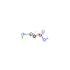 Cc1c(CCCCN2CCCC(C(F)(F)F)C2)cccc1-c1cccc(COc2cc(CCc3cncc(C#N)c3)c(CN3CCCCC3)cc2Cl)c1C